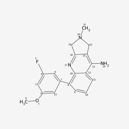 COc1cc(F)cc(-c2cccc3c(N)c4c(nc23)CN(C)C4)c1